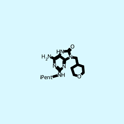 CCCC(C)Nc1nc(N)c2[nH]c(=O)n(CC3CCOCC3)c2n1